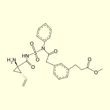 C=C[C@@H]1C[C@]1(N)C(=O)NS(=O)(=O)N(C(=O)Cc1cccc(CCC(=O)OC)c1)c1ccccc1